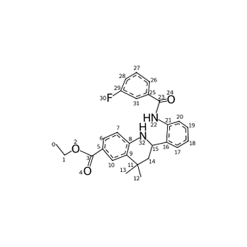 CCOC(=O)c1ccc2c(c1)C(C)(C)CC(c1ccccc1NC(=O)c1cccc(F)c1)N2